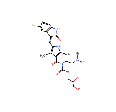 CCN(CC)CCN(C(=O)OCC(O)CO)C(=O)c1c(C)[nH]c(/C=C2\C(=O)Nc3ccc(F)cc32)c1C